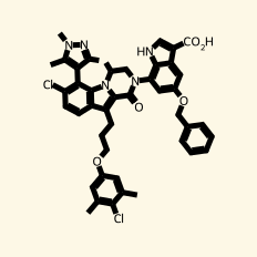 Cc1cc(OCCCc2c3n(c4c(-c5c(C)nn(C)c5C)c(Cl)ccc24)C(C)CN(c2cc(OCc4ccccc4)cc4c(C(=O)O)c[nH]c24)C3=O)cc(C)c1Cl